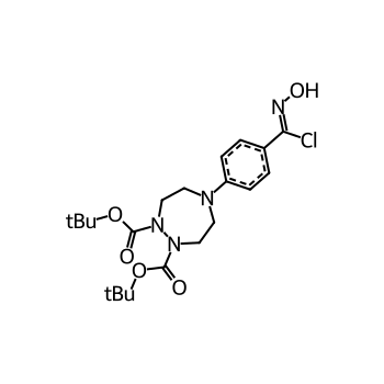 CC(C)(C)OC(=O)N1CCN(c2ccc(/C(Cl)=N/O)cc2)CCN1C(=O)OC(C)(C)C